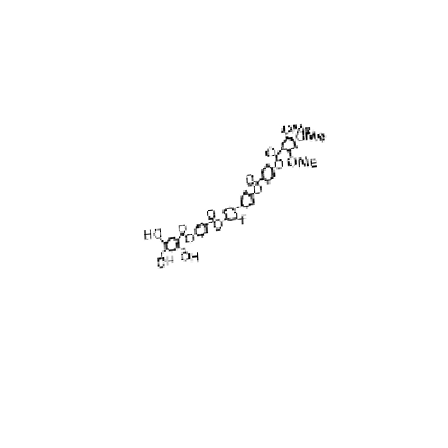 COc1cc(OC)c(C(=O)Oc2ccc(C(=O)Oc3ccc(-c4ccc(OC(=O)c5ccc(OC(=O)c6cc(CO)c(CO)cc6CO)cc5)cc4F)cc3)cc2)cc1OC